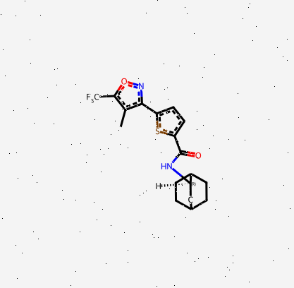 Cc1c(-c2ccc(C(=O)N[C@@H]3CC4CCC3CC4)s2)noc1C(F)(F)F